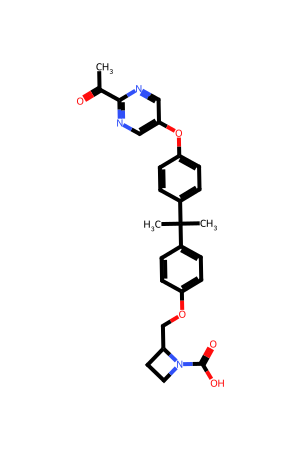 CC(=O)c1ncc(Oc2ccc(C(C)(C)c3ccc(OCC4CCN4C(=O)O)cc3)cc2)cn1